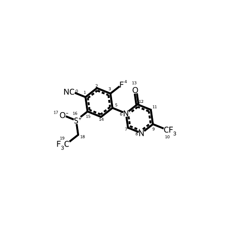 N#Cc1cc(F)c(-n2cnc(C(F)(F)F)cc2=O)cc1[S+]([O-])CC(F)(F)F